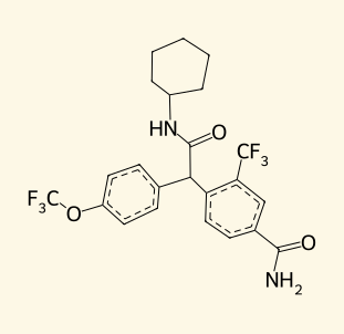 NC(=O)c1ccc(C(C(=O)NC2CCCCC2)c2ccc(OC(F)(F)F)cc2)c(C(F)(F)F)c1